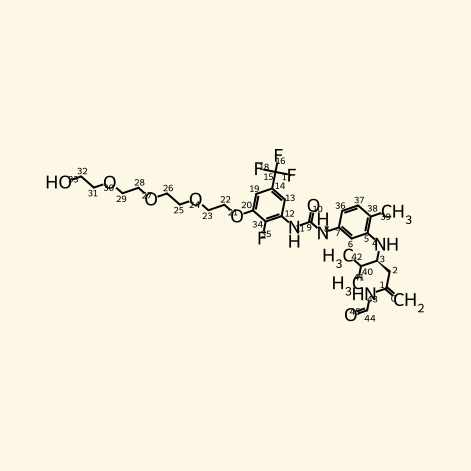 C=C(C[C@H](Nc1cc(NC(=O)Nc2cc(C(F)(F)F)cc(OCCOCCOCCOCCO)c2F)ccc1C)C(C)C)NC=O